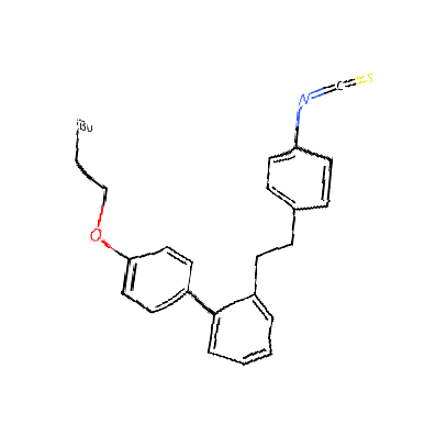 CCC(C)CCOc1ccc(-c2ccccc2CCc2ccc(N=C=S)cc2)cc1